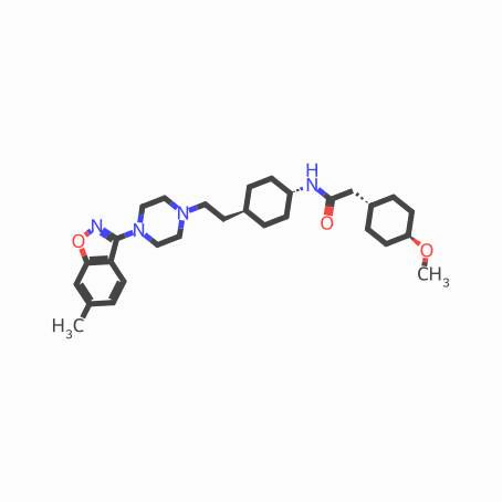 CO[C@H]1CC[C@H](CC(=O)N[C@H]2CC[C@H](CCN3CCN(c4noc5cc(C)ccc45)CC3)CC2)CC1